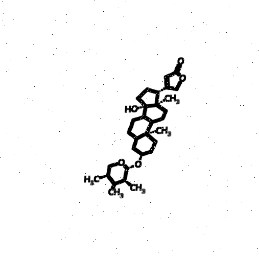 CC1[C@@H](C)CO[C@H](O[C@H]2CC[C@@]3(C)C(CCC4C3CC[C@]3(C)[C@@H](C5=CC(=O)OC5)CC[C@]43O)C2)[C@H]1C